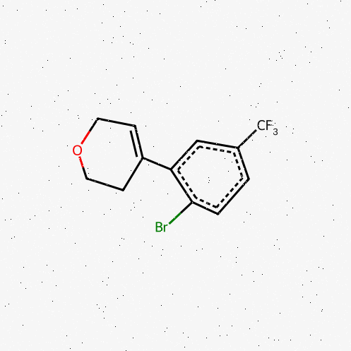 FC(F)(F)c1ccc(Br)c(C2=CCOCC2)c1